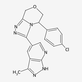 Cc1n[nH]c2ncc(-c3nnc4n3C(c3ccc(Cl)cc3)COC4)cc12